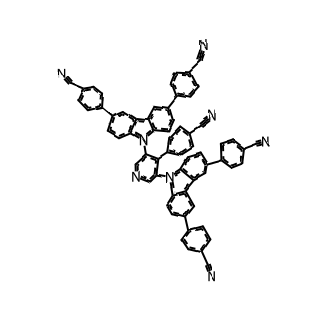 N#Cc1ccc(-c2ccc3c(c2)c2cc(-c4ccc(C#N)cc4)ccc2n3-c2cncc(-n3c4ccc(-c5ccc(C#N)cc5)cc4c4cc(-c5ccc(C#N)cc5)ccc43)c2-c2ccc(C#N)cc2)cc1